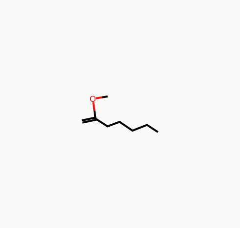 C=C(CCCCC)OC